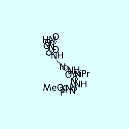 CO[C@H]1CCN(c2nccc(Nc3cc4c(cn3)c(C(=O)NC3CCN(CCCCCNc5cccc6c5C(=O)N(C5CCC(=O)NC5=O)C6=O)CC3)cn4C(C)C)n2)C[C@H]1F